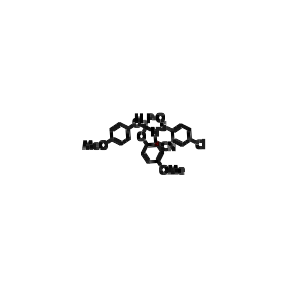 COc1ccc(OC(Oc2ccc(OC)cc2)([PH2]=O)N(CC#N)Sc2ccc(Cl)cc2)cc1